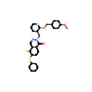 COc1ccc(COc2ncccc2Cn2ncc3c(F)c(Sc4ccccc4)ccc3c2=O)cc1